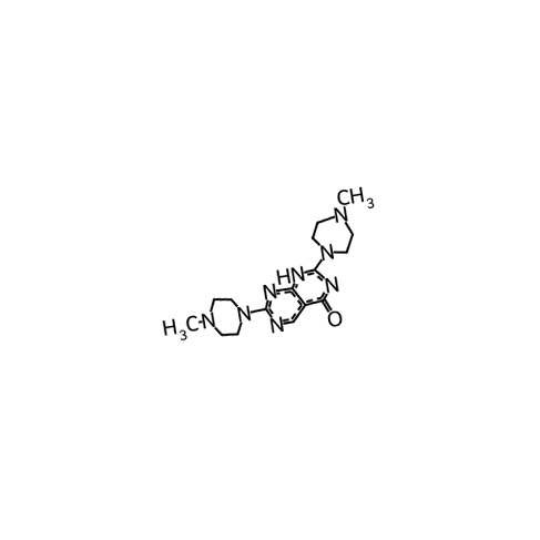 CN1CCN(c2ncc3c(=O)nc(N4CCN(C)CC4)[nH]c3n2)CC1